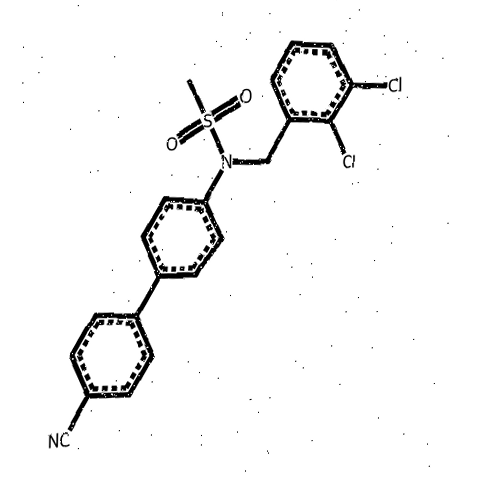 CS(=O)(=O)N(Cc1cccc(Cl)c1Cl)c1ccc(-c2ccc(C#N)cc2)cc1